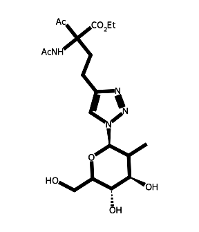 CCOC(=O)C(CCc1cn([C@@H]2OC(CO)[C@@H](O)[C@H](O)C2C)nn1)(NC(C)=O)C(C)=O